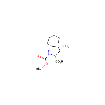 CCCCOC(=O)NC(CC1(C)CCCCC1)C(=O)O